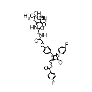 CC(C)(C)C[C@H](NC(=O)CNC(=O)COc1ccc([C@@H]2[C@@H](SCC(=O)c3ccc(F)cc3)C(=O)N2c2ccc(F)cc2)cc1)C(=O)O